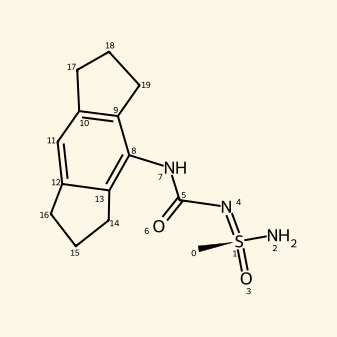 C[S@@](N)(=O)=NC(=O)Nc1c2c(cc3c1CCC3)CCC2